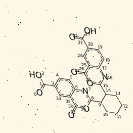 O=C(O)c1ccc2nc(C3CCCCC3c3nc4ccc(C(=O)O)cc4c(=O)o3)oc(=O)c2c1